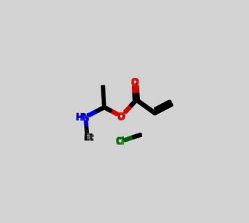 C=CC(=O)OC(C)NCC.CCl